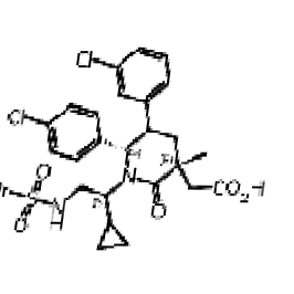 CCCS(=O)(=O)NC[C@H](C1CC1)N1C(=O)[C@@](C)(CC(=O)O)CC(c2cccc(Cl)c2)[C@H]1c1ccc(Cl)cc1